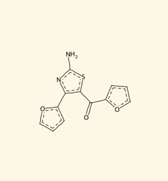 Nc1nc(-c2ccco2)c(C(=O)c2ccco2)s1